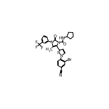 Cc1c(-c2ccn(-c3ccc(C#N)cc3Br)n2)n(C(=O)NC2CCCC2)c(=O)n1-c1cccc(C(F)(F)F)c1